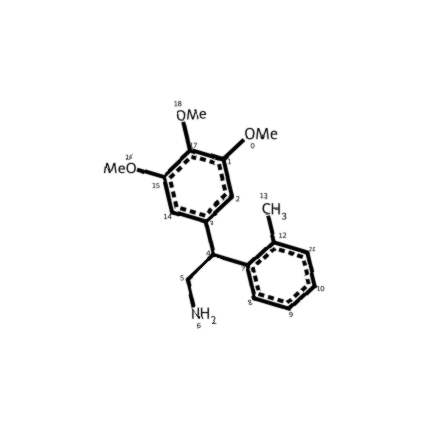 COc1cc(C(CN)c2ccccc2C)cc(OC)c1OC